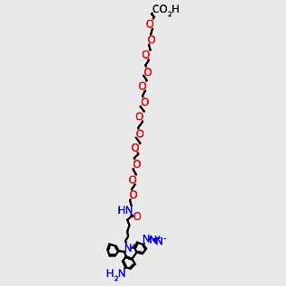 [N-]=[N+]=Nc1ccc2c3ccc(N)cc3c(-c3ccccc3)[n+](CCCCCC(=O)NCCOCCOCCOCCOCCOCCOCCOCCOCCOCCOCCOCCOCCC(=O)O)c2c1